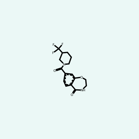 O=C1NCCOc2cc(C(=O)N3CCCC(C(F)(F)F)C3)ccc21